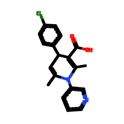 CC1=CC(c2ccc(Cl)cc2)C(C(=O)O)=C(C)N1c1cccnc1